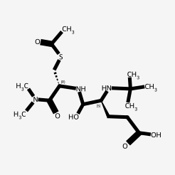 CC(=O)SC[C@H](NC(O)[C@H](CCC(=O)O)NC(C)(C)C)C(=O)N(C)C